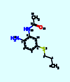 CCCSc1ccc(N)c(NC(C)=O)c1